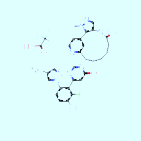 C[C@@H]1CCC[C@H](n2cnc(-c3c(-n4cc(C#N)cn4)ccc(Cl)c3F)cc2=O)c2cc(ccn2)-c2c(cnn2C)NC1=O.O=C(O)C(F)(F)F